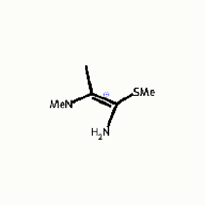 CN/C(C)=C(\N)SC